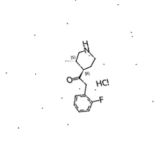 C[C@@H]1CNCC[C@H]1C(=O)Cc1ccccc1F.Cl